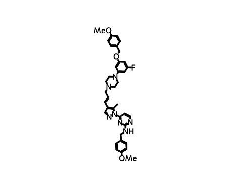 COc1ccc(CNc2nccc(-n3ncc(C=CCN4CCN(c5cc(F)cc(OCc6ccc(OC)cc6)c5)CC4)c3C)n2)cc1